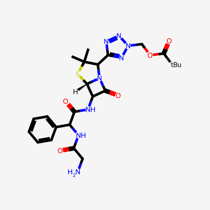 CC(C)(C)C(=O)OCn1nnc(C2N3C(=O)C(NC(=O)C(NC(=O)CN)c4ccccc4)[C@@H]3SC2(C)C)n1